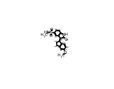 CNS(=O)(=O)c1ccc2c(c1)/C(=C1\C[CH]c3cc(OC)ccc31)C(=O)N2